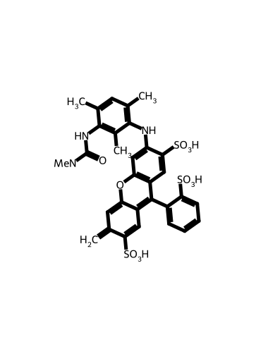 C=c1cc2c(cc1S(=O)(=O)O)=C(c1ccccc1S(=O)(=O)O)c1cc(S(=O)(=O)O)c(Nc3c(C)cc(C)c(NC(=O)NC)c3C)cc1O2